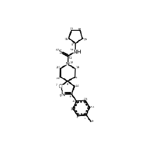 Cc1ccc(C2=NOC3(CCN(C(=S)NC4CCCC4)CC3)C2)cc1